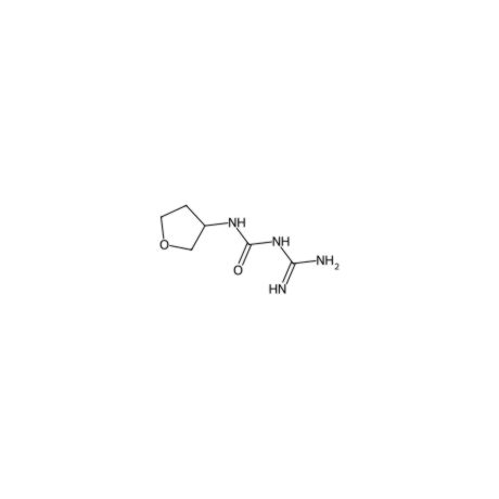 N=C(N)NC(=O)NC1CCOC1